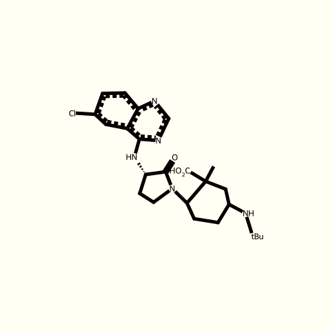 CC(C)(C)NC1CCC(N2CC[C@H](Nc3ncnc4ccc(Cl)cc34)C2=O)C(C)(C(=O)O)C1